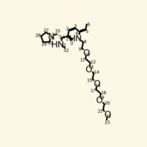 C=C(/C=C\C(=C/C)NCCOCCOCCOCCOCCOC)[C@@H](CN1CCCC1)NC